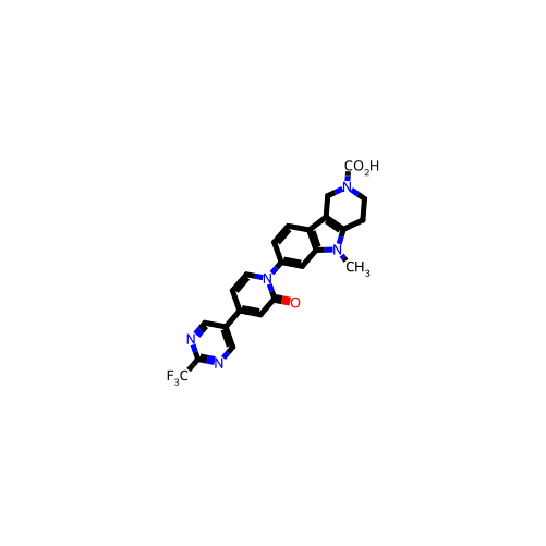 Cn1c2c(c3ccc(-n4ccc(-c5cnc(C(F)(F)F)nc5)cc4=O)cc31)CN(C(=O)O)CC2